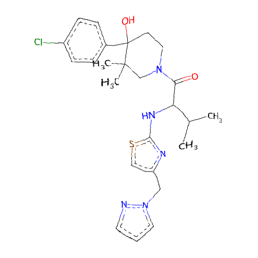 CC(C)C(Nc1nc(Cn2cccn2)cs1)C(=O)N1CCC(O)(c2ccc(Cl)cc2)C(C)(C)C1